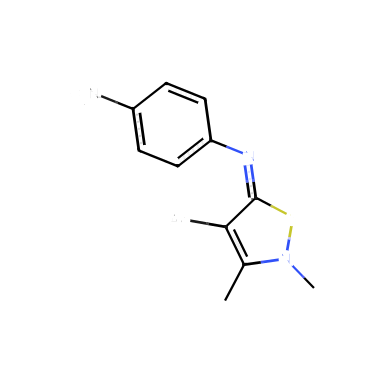 CC(=O)c1c(C)n(C)sc1=Nc1ccc([N+](=O)[O-])cc1